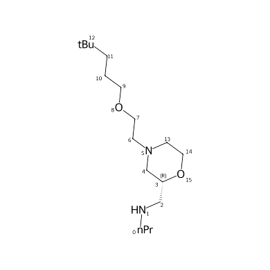 CCCNC[C@@H]1CN(CCOCCCC(C)(C)C)CCO1